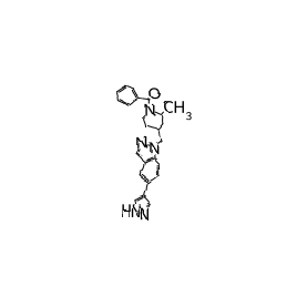 CC1CC(Cn2ncc3cc(-c4cn[nH]c4)ccc32)CCN1C(=O)c1ccccc1